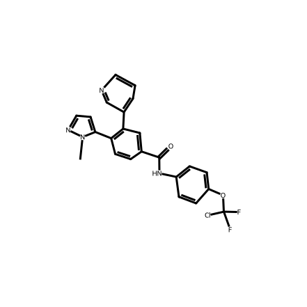 Cn1nccc1-c1ccc(C(=O)Nc2ccc(OC(F)(F)Cl)cc2)cc1-c1cccnc1